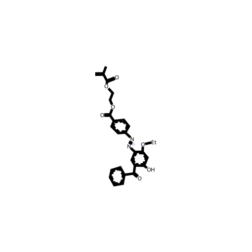 C=C(C)C(=O)OCCOC(=O)c1ccc(/N=N/c2cc(C(=O)c3ccccc3)c(O)cc2OCC)cc1